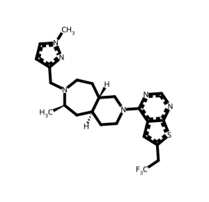 C[C@@H]1C[C@@H]2CCN(c3ncnc4sc(CC(F)(F)F)cc34)C[C@H]2CCN1Cc1ccn(C)n1